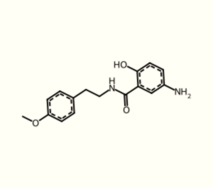 COc1ccc(CCNC(=O)c2cc(N)ccc2O)cc1